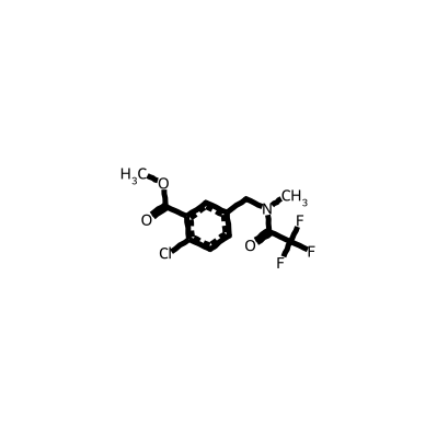 COC(=O)c1cc(CN(C)C(=O)C(F)(F)F)ccc1Cl